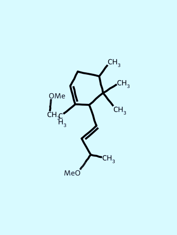 COC.COC(C)/C=C/C1C(C)=CCC(C)C1(C)C